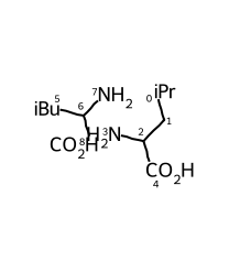 CC(C)CC(N)C(=O)O.CCC(C)C(N)C(=O)O